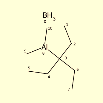 B.CC[C](CC)(CC)[Al]([CH3])[CH3]